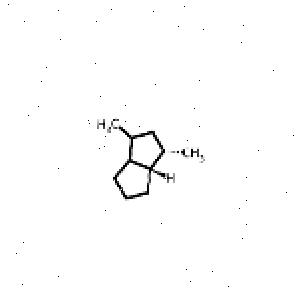 CC1C[C@H](C)[C@@H]2CCCC12